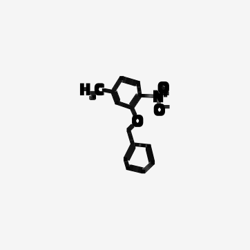 Cc1ccc([N+](=O)[O-])c(OCc2ccccc2)c1